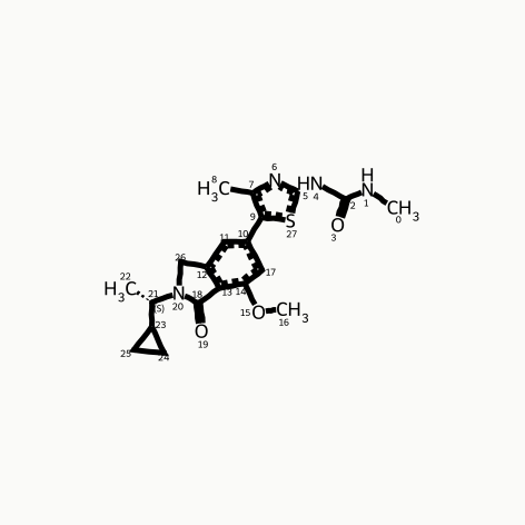 CNC(=O)Nc1nc(C)c(-c2cc3c(c(OC)c2)C(=O)N([C@@H](C)C2CC2)C3)s1